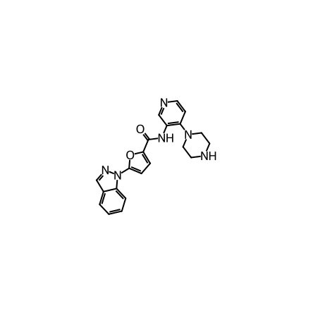 O=C(Nc1cnccc1N1CCNCC1)c1ccc(-n2ncc3ccccc32)o1